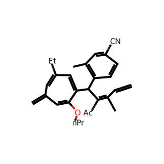 C=C/C(C)=C(/C(C)=O)C(C1=CC(CC)=CC(=C)C=C1OCCC)c1ccc(C#N)cc1C